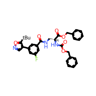 CC(C)(C)c1oncc1-c1cc(F)cc(C(=O)NC[C@@H](NC(=O)OCc2ccccc2)C(=O)OCc2ccccc2)c1